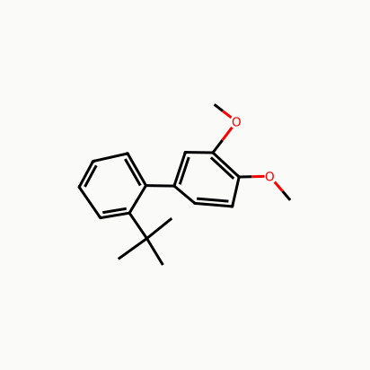 COc1ccc(-c2ccccc2C(C)(C)C)cc1OC